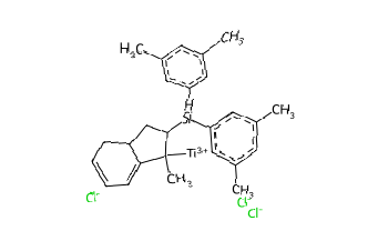 Cc1cc(C)cc([SiH](c2cc(C)cc(C)c2)C2CC3CC=CC=C3[C]2(C)[Ti+3])c1.[Cl-].[Cl-].[Cl-]